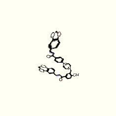 O=C(/C=C/c1ccc2c(c1)OCO2)c1ccc(N2CCN(Cc3cc(C(=O)/C=C/c4ccc5c(c4)OCO5)ccc3O)CC2)cc1